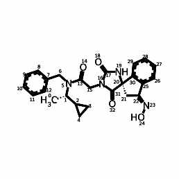 C[C@@H](C1CC1)N(Cc1ccccc1)C(=O)CN1C(=O)N[C@]2(CC(=NO)c3ccccc32)C1=O